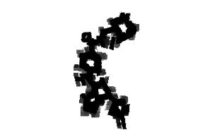 O=C(NCc1cccnc1)c1ccc(Nc2ncc(-c3cn[nH]c3)n3ccnc23)cc1